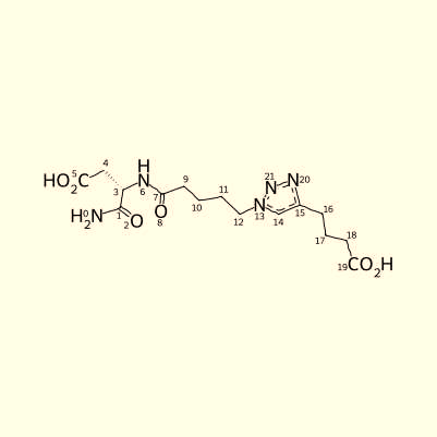 NC(=O)[C@H](CC(=O)O)NC(=O)CCCCn1cc(CCCC(=O)O)nn1